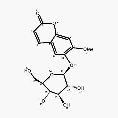 COc1cc2oc(=O)ccc2cc1O[C@@H]1O[C@H](CO)[C@@H](O)[C@H](O)[C@H]1O